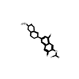 CCCCCCC1CCC2CC(c3cc(F)c4cc(OC(F)F)c(F)cc4c3)CCC2C1